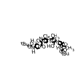 Cc1nc(N2CCC3(CC2)CO[C@@H](C)[C@H]3NC(=O)OC(C)(C)C)c(CO)nc1Sc1ccn2c(C(=O)N3CCC(NC(=O)OC(C)(C)C)CC3)c(C)nc2c1Cl